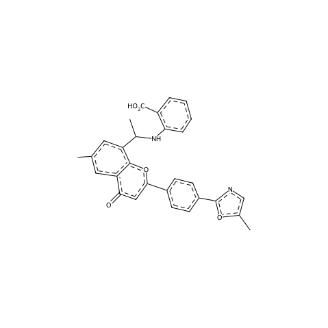 Cc1cc(C(C)Nc2ccccc2C(=O)O)c2oc(-c3ccc(-c4ncc(C)o4)cc3)cc(=O)c2c1